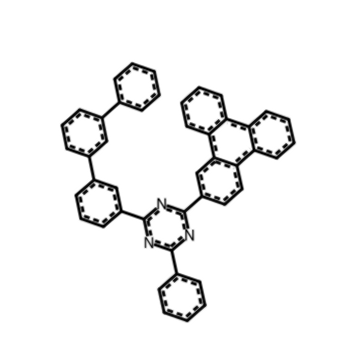 c1ccc(-c2cccc(-c3cccc(-c4nc(-c5ccccc5)nc(-c5ccc6c7ccccc7c7ccccc7c6c5)n4)c3)c2)cc1